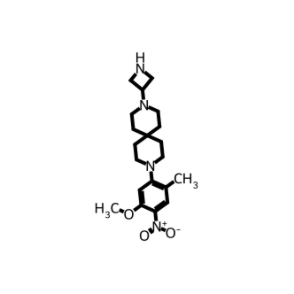 COc1cc(N2CCC3(CC2)CCN(C2CNC2)CC3)c(C)cc1[N+](=O)[O-]